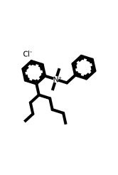 CCCCC(CCC)c1ccccc1[N+](C)(C)Cc1ccccc1.[Cl-]